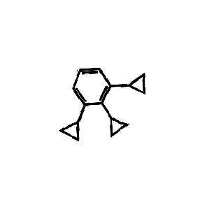 [c]1cc(C2CC2)c(C2CC2)c(C2CC2)c1